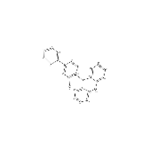 Clc1cc(-c2ccccc2)ccc1N1c2ccccc2Oc2ccccc21